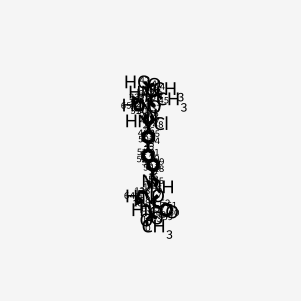 COC(=O)N[C@H](C(=O)N1[C@@H]2C[C@H]2C[C@H]1c1nc(-c2ccc3cc(-c4ccc(-c5[nH]c([C@@H]6C[C@H]7C[C@H]7N6C(=O)[C@@H](NC(=O)O)C(C)C)nc5Cl)cc4)ccc3c2)c[nH]1)C1CCOCC1